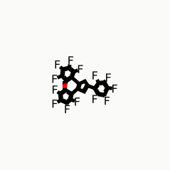 Fc1c(F)c(F)c(C2=CC(c3c(F)c(F)c(F)c(F)c3F)=C(c3c(F)c(F)c(F)c(F)c3F)C2)c(F)c1F